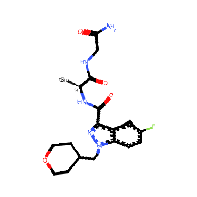 CC(C)(C)[C@H](NC(=O)c1nn(CC2CCOCC2)c2ccc(F)cc12)C(=O)NCC(N)=O